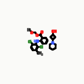 CCOCOC(=O)c1ccccc1Nc1c(Cl)ccc(C)c1Cl.OC1CC(N2CCCCC2)C1